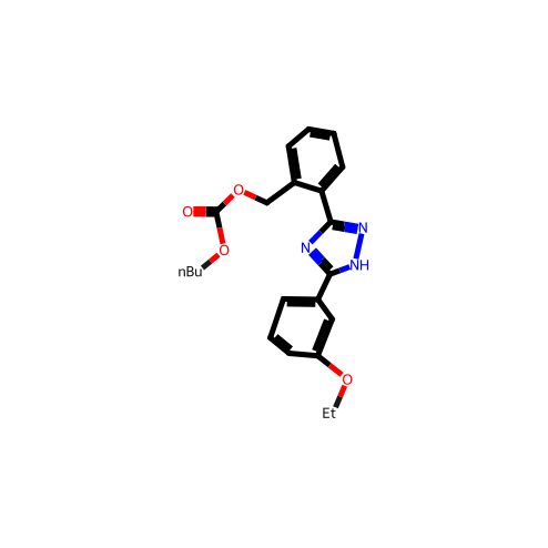 CCCCOC(=O)OCc1ccccc1-c1n[nH]c(-c2cccc(OCC)c2)n1